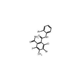 Cc1c(F)c(C(N)=O)c(C(=O)Nc2ccccc2C(C)C)c(Cl)c1Br